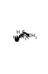 CC(C)=CCC/C(C)=C/CNCCNc1ccccn1